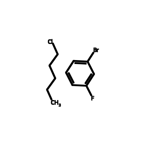 CCCCCCl.Fc1cccc(Br)c1